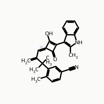 C=C(/C=C1\C(=O)C(c2c(C)[nH]c3ccccc23)=C1O)C(C)(C)c1cc(C#N)ccc1C